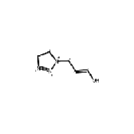 OC=CCN1CCN=N1